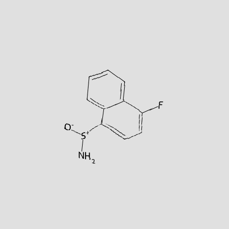 N[S+]([O-])c1ccc(F)c2ccccc12